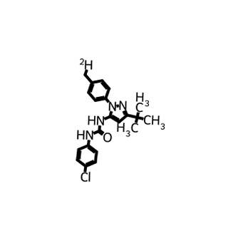 [2H]Cc1ccc(-n2nc(C(C)(C)C)cc2NC(=O)Nc2ccc(Cl)cc2)cc1